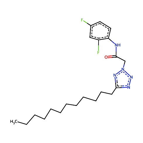 CCCCCCCCCCCCc1nnn(CC(=O)Nc2ccc(F)cc2F)n1